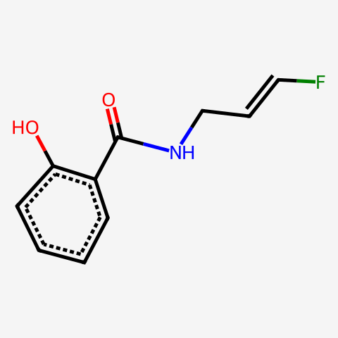 O=C(NCC=CF)c1ccccc1O